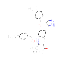 COC(=O)C(Cc1ccc(OC(c2ccc(C)cc2)c2cn[nH]c2)cc1)C(C)=NOCc1ccc(C)cc1